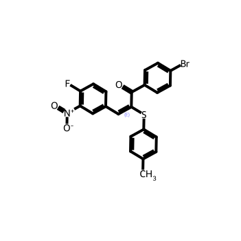 Cc1ccc(S/C(=C/c2ccc(F)c([N+](=O)[O-])c2)C(=O)c2ccc(Br)cc2)cc1